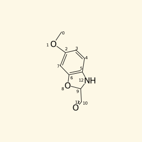 COc1ccc2c(c1)OC(C=O)N2